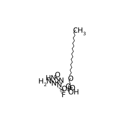 CCCCCCCCCCCCCCCCCCOCCOP(=O)(O)CO[C@H](CF)Cn1cnc2c(=O)[nH]c(N)nc21